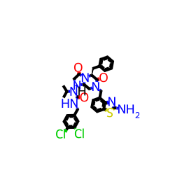 CC(C)N(C(=O)NCc1ccc(Cl)c(Cl)c1)N1CC(=O)N2[C@@H](Cc3ccccc3)C(=O)N(Cc3cccc4sc(N)nc34)C[C@@H]21